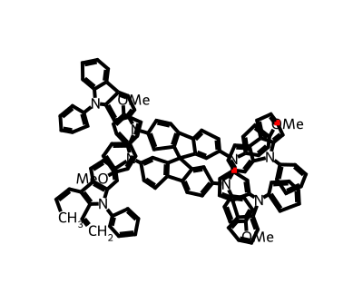 C=Cc1c(/C=C\C)c2ccc(N(c3ccc(OC)cc3)c3ccc4c(c3)C3(c5cc(N(c6ccc(OC)cc6)c6ccc7c8ccccc8n(-c8ccccc8)c7c6)ccc5-4)c4cc(N(c5ccc(OC)cc5)c5ccc6c7ccccc7n(-c7ccccc7)c6c5)ccc4-c4ccc(N(c5ccc(OC)cc5)c5ccc6c7ccccc7n(-c7ccccc7)c6c5)cc43)cc2n1-c1ccccc1